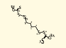 CCOC(=S)SSCCCCSSC(=S)OCC